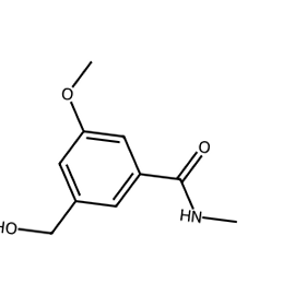 CNC(=O)c1cc(CO)cc(OC)c1